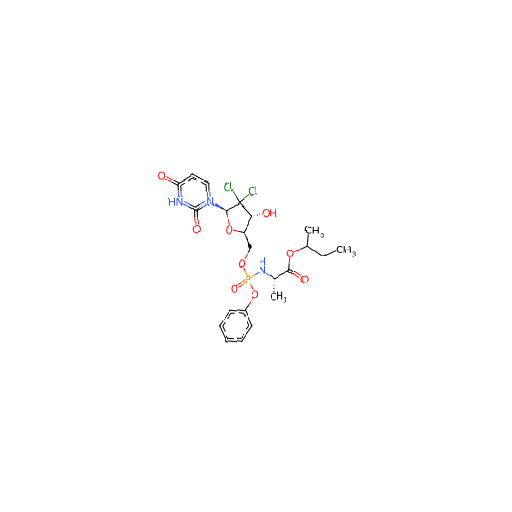 CCC(C)OC(=O)[C@H](C)NP(=O)(OC[C@H]1O[C@@H](n2ccc(=O)[nH]c2=O)C(Cl)(Cl)[C@@H]1O)Oc1ccccc1